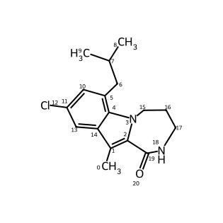 Cc1c2n(c3c(CC(C)C)cc(Cl)cc13)CCCNC2=O